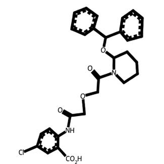 O=C(COCC(=O)N1CCCCC1OC(c1ccccc1)c1ccccc1)Nc1ccc(Cl)cc1C(=O)O